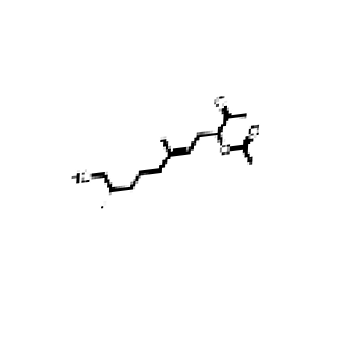 CC(=O)OC(C/C=C(\C)CCC[C@H](C)CO)C(C)=O